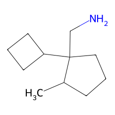 CC1CCCC1(CN)C1CCC1